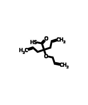 C=CCOC(CC=C)(CC=C)C(=O)S